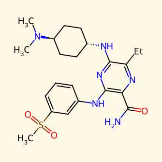 CCc1nc(C(N)=O)c(Nc2cccc(S(C)(=O)=O)c2)nc1N[C@H]1CC[C@H](N(C)C)CC1